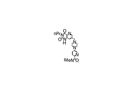 CCCn1c(=O)[nH]c2cc(CN3CCN(c4ccc(C(=O)NC)nc4)CC3)cnc2c1=O